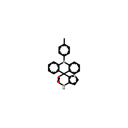 Cc1ccc(N2c3ccccc3C3(c4ccccc4Nc4ccsc43)c3ccccc32)cc1